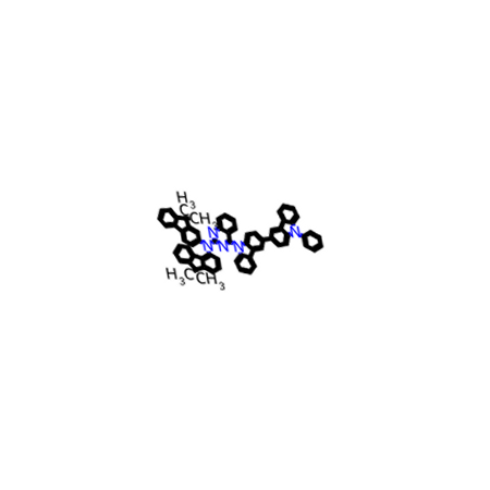 CC1(C)c2ccccc2-c2ccc(N(c3nc(-n4c5ccccc5c5cc(-c6ccc7c(c6)c6ccccc6n7-c6ccccc6)ccc54)c4ccccc4n3)c3cccc4c3-c3ccccc3C4(C)C)cc21